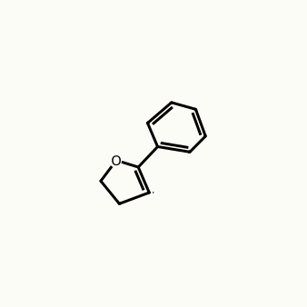 [C]1=C(c2ccccc2)OCC1